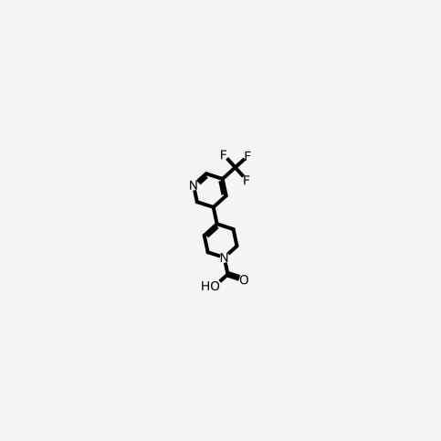 O=C(O)N1CC=C(C2C=C(C(F)(F)F)C=NC2)CC1